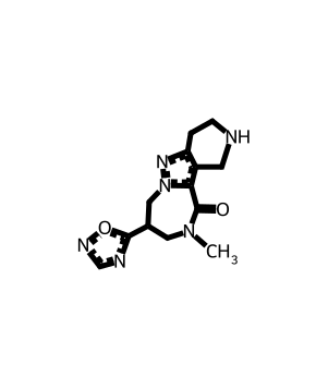 CN1CC(c2ncno2)Cn2nc3c(c2C1=O)CNCC3